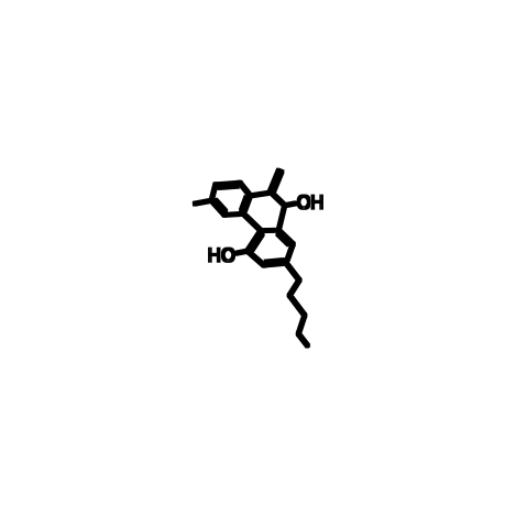 C=C1c2ccc(C)cc2-c2c(O)cc(CCCCC)cc2C1O